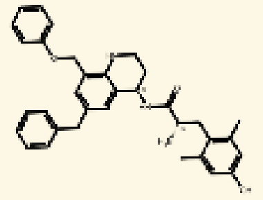 Cc1cc(O)cc(C)c1C[C@H](N)C(=O)N[C@@H]1CCNc2c(COc3ccccc3)cc(Cc3ccccc3)cc21